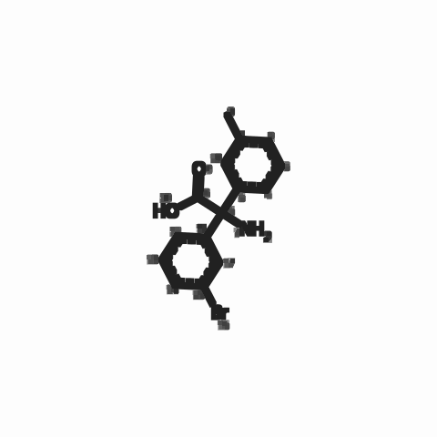 Cc1cccc(C(N)(C(=O)O)c2cccc(Br)c2)c1